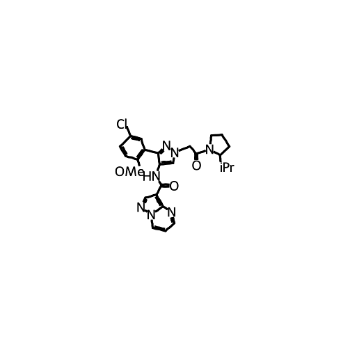 COc1ccc(Cl)cc1-c1nn(CC(=O)N2CCCC2C(C)C)cc1NC(=O)c1cnn2cccnc12